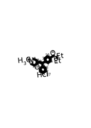 CCN(CC)C(=O)c1ccc(C2=CC3(CCN(C)CC3)Oc3ccccc32)cc1.Cl